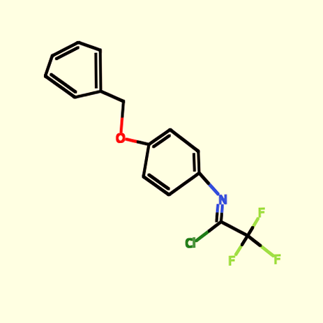 FC(F)(F)C(Cl)=Nc1ccc(OCc2ccccc2)cc1